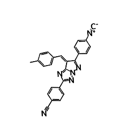 [C-]#[N+]c1ccc(-c2nn3nc(-c4ccc(C#N)cc4)nc3/c2=C\c2ccc(C)cc2)cc1